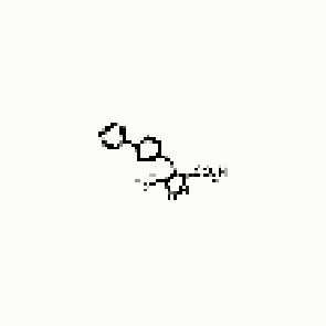 Cc1onc(C(=O)O)c1Cc1ccc(-c2ccccc2)cc1